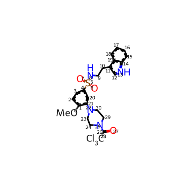 COc1ccc(S(=O)(=O)NCCc2c[nH]c3ccccc23)cc1N1CCN(C(=O)C(Cl)(Cl)Cl)CC1